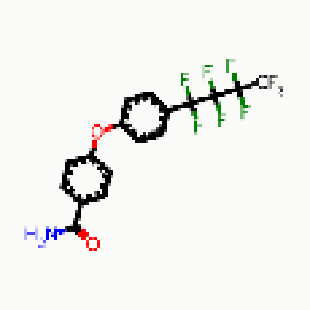 NC(=O)c1ccc(Oc2ccc(C(F)(F)C(F)(F)C(F)(F)C(F)(F)F)cc2)cc1